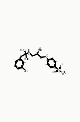 CC(C)(Cc1cccc(Cl)c1)NCC(O)COc1ccc(S(C)(=O)=O)cc1